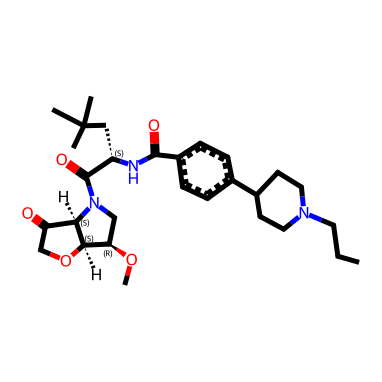 CCCN1CCC(c2ccc(C(=O)N[C@@H](CC(C)(C)C)C(=O)N3C[C@@H](OC)[C@H]4OCC(=O)[C@H]43)cc2)CC1